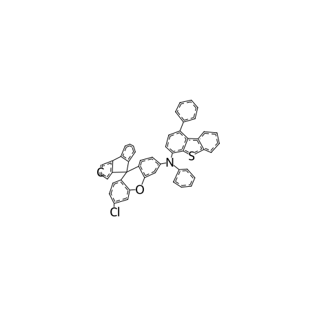 Clc1ccc2c(c1)Oc1cc(N(c3ccccc3)c3ccc(-c4ccccc4)c4c3sc3ccccc34)ccc1C21c2ccccc2-c2ccccc21